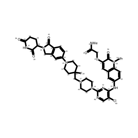 CNC(=O)COc1cc2cc(Nc3nc(N4CCN(CC5(F)CCN(c6ccc7c(c6)CN(C6CCC(=O)NC6=O)C7=O)CC5)CC4)ncc3Cl)ccc2n(C(C)C)c1=O